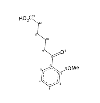 COc1ccccc1C(=O)CCCCC(=O)O